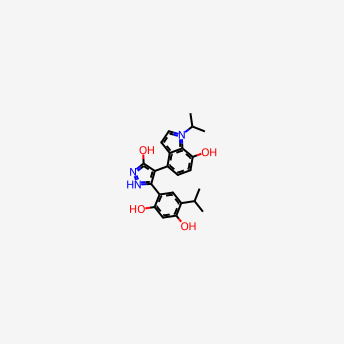 CC(C)c1cc(-c2[nH]nc(O)c2-c2ccc(O)c3c2ccn3C(C)C)c(O)cc1O